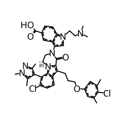 Cc1cc(OCCCc2c3n(c4c(-c5c(C)nn(C)c5C)c(Cl)ccc24)[C@H](C)CN(c2cn(CCN(C)C)c4ccc(C(=O)O)cc24)C3=O)cc(C)c1Cl